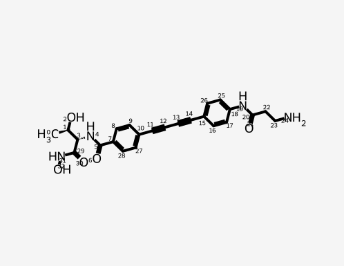 C[C@@H](O)[C@H](NC(=O)c1ccc(C#CC#Cc2ccc(NC(=O)CCN)cc2)cc1)C(=O)NO